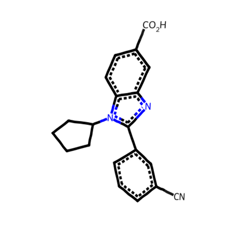 N#Cc1cccc(-c2nc3cc(C(=O)O)ccc3n2C2CCCC2)c1